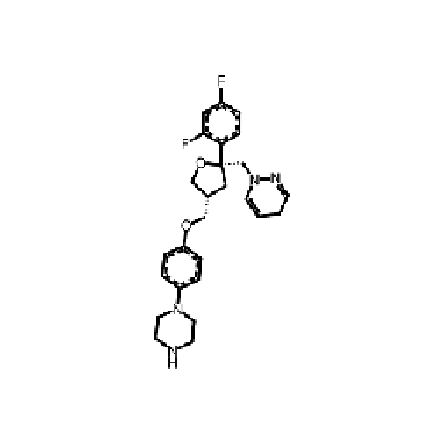 Fc1ccc([C@@]2(CN3C=CCC=N3)C[C@H](COc3ccc(N4CCNCC4)cc3)CO2)c(F)c1